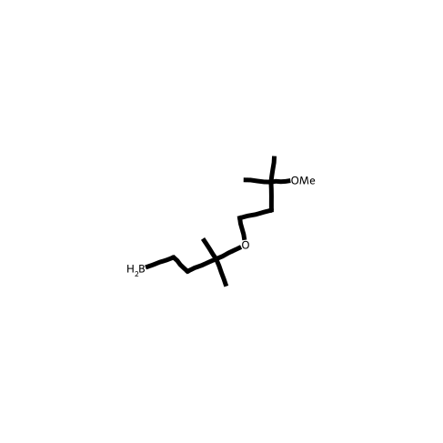 BCCC(C)(C)OCCC(C)(C)OC